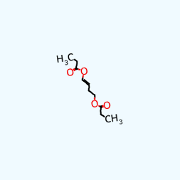 CCC(=O)OC=CCCOC(=O)CC